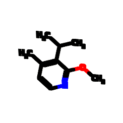 COc1nccc(C)c1C(C)C